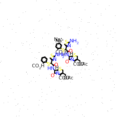 CC(=O)OCC1=C(C(=O)[O-])N2C(=O)C(NC(=O)C(Sc3ccccc3C(=O)O)c3csc(N)n3)[C@H]2SC1.CC(=O)OCC1=C(C(=O)[O-])N2C(=O)C(NC(=O)C(Sc3ccccc3C(=O)O)c3csc(N)n3)[C@H]2SC1.[Na+].[Na+]